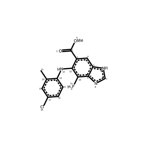 COC(=O)c1cc2[nH]cnc2c(P)c1Nc1ccc(Cl)cc1C